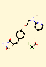 CN(CCOc1ccc(C=C2SC(=O)NC2=O)cc1)c1ccccn1.O=C(O)C(F)(F)F